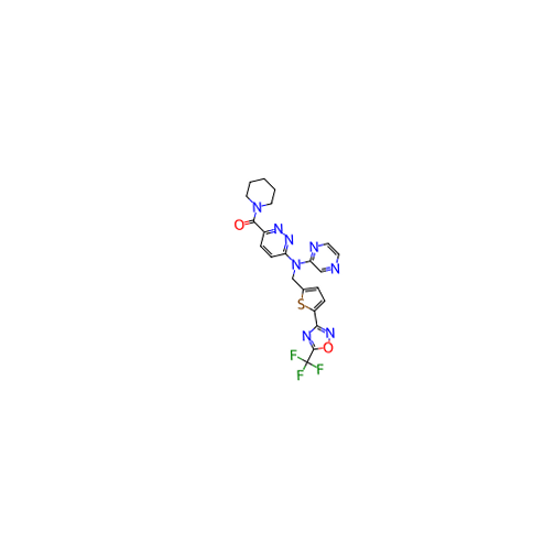 O=C(c1ccc(N(Cc2ccc(-c3noc(C(F)(F)F)n3)s2)c2cnccn2)nn1)N1CCCCC1